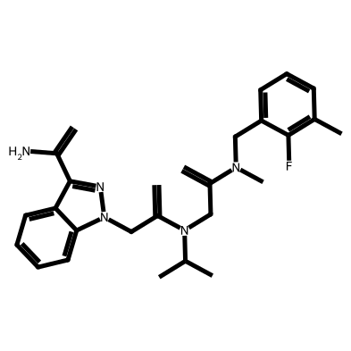 C=C(N)c1nn(CC(=C)N(CC(=C)N(C)Cc2cccc(C)c2F)C(C)C)c2ccccc12